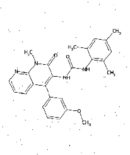 COc1cccc(-c2c(NC(=O)Nc3c(C)cc(C)cc3C)c(=O)n(C)c3ncccc23)c1